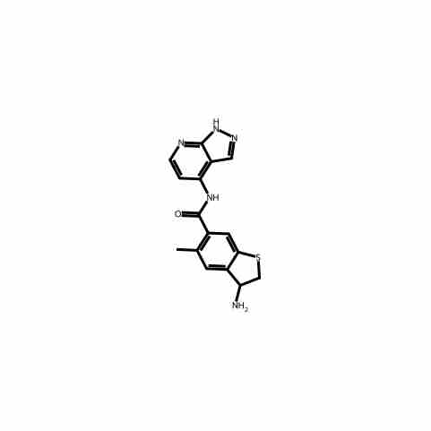 Cc1cc2c(cc1C(=O)Nc1ccnc3[nH]ncc13)SCC2N